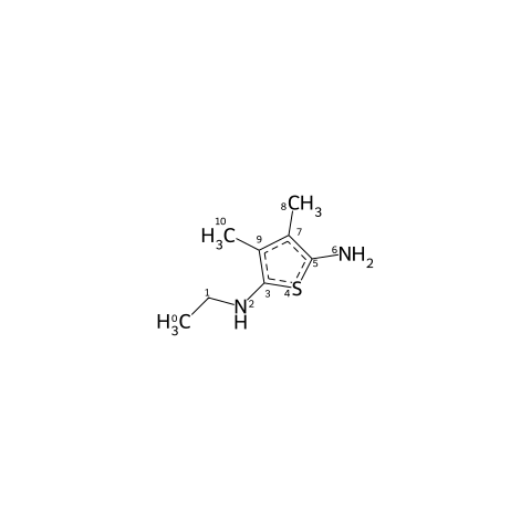 CCNc1sc(N)c(C)c1C